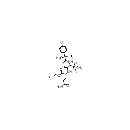 CCOC(=O)[C@@H](CCC(N)=O)NC(=O)[C@@H](NC(=O)C(C)(C)c1ccc(Cl)cc1)C(C)(C)C